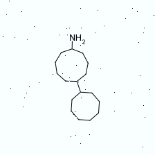 NC1CCCCC(C2CCCCCCC2)CCC1